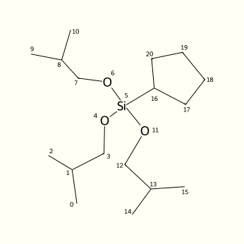 CC(C)CO[Si](OCC(C)C)(OCC(C)C)C1CCCC1